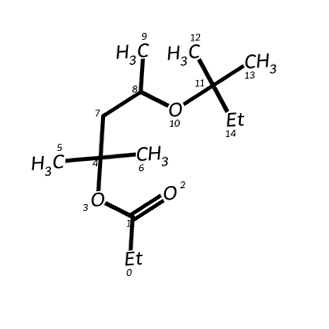 CCC(=O)OC(C)(C)CC(C)OC(C)(C)CC